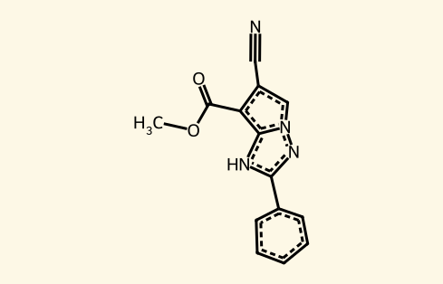 COC(=O)c1c(C#N)cn2nc(-c3ccccc3)[nH]c12